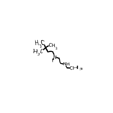 CCNCCN(I)CCC(C)(C)C